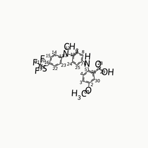 COc1ccc(Nc2ccc(N(C)c3ccc(SC(F)(F)F)cc3)cc2)c(C(=O)O)c1